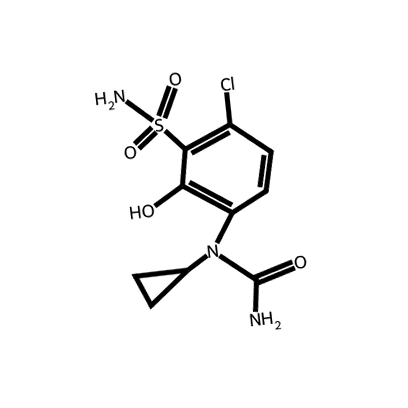 NC(=O)N(c1ccc(Cl)c(S(N)(=O)=O)c1O)C1CC1